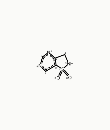 O=S1(=O)NCc2ncncc21